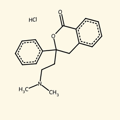 CN(C)CCC1(c2ccccc2)Cc2ccccc2C(=O)O1.Cl